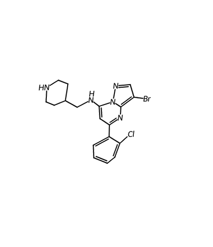 Clc1ccccc1-c1cc(NCC2CCNCC2)n2ncc(Br)c2n1